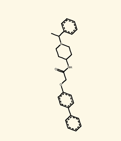 CC(c1ccccc1)N1CCC(NC(=O)COc2ccc(-c3ccccc3)cc2)CC1